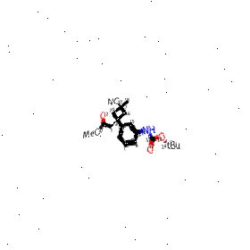 COC(=O)C[C@]1(c2cccc(NC(=O)OC(C)(C)C)c2)C[C@](C)(C#N)C1